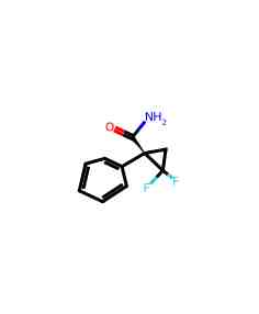 NC(=O)[C@@]1(c2ccccc2)CC1(F)F